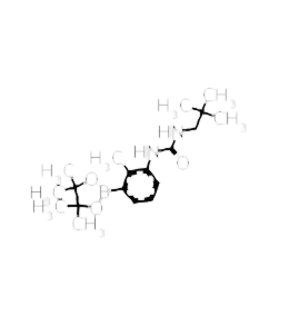 Cc1c(NC(=O)NCC(C)(C)C)cccc1B1OC(C)(C)C(C)(C)O1